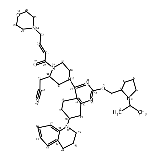 CC(C)N1CCCC1COc1nc2c(c(N3CCN(C(=O)C=CCN4CCOCC4)C(CC#N)C3)n1)CCC(N1CCCc3ccccc31)C2